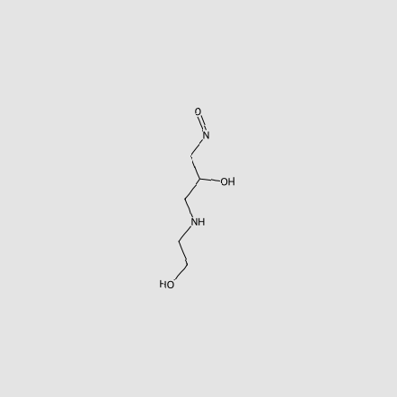 O=NCC(O)CNCCO